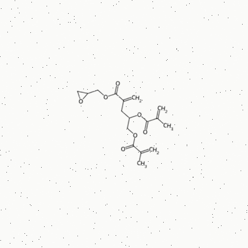 C=C(C)C(=O)OCC(CC(=C)C(=O)OCC1CO1)OC(=O)C(=C)C